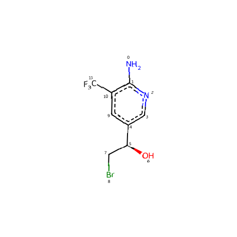 Nc1ncc([C@@H](O)CBr)cc1C(F)(F)F